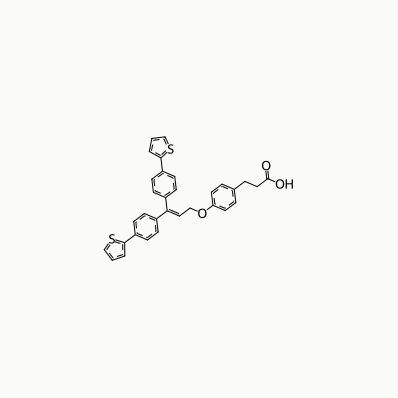 O=C(O)CCc1ccc(OCC=C(c2ccc(-c3cccs3)cc2)c2ccc(-c3cccs3)cc2)cc1